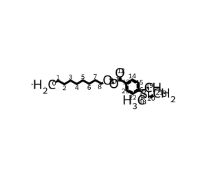 [CH2]CCCCCCCCOOC(=O)c1ccc([Si](C)(C)C=C)cc1